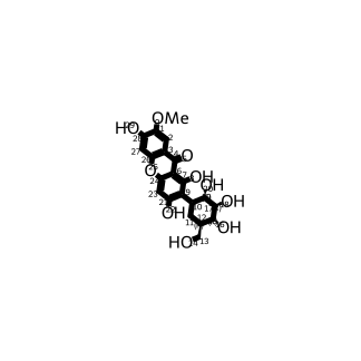 COc1cc2c(=O)c3c(O)c(C4C[C@H](CO)[C@@H](O)[C@H](O)[C@H]4O)c(O)cc3oc2cc1O